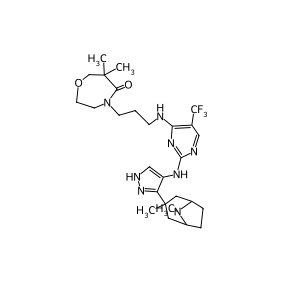 CN1C2CCC1CC(C)(c1n[nH]cc1Nc1ncc(C(F)(F)F)c(NCCCN3CCOCC(C)(C)C3=O)n1)C2